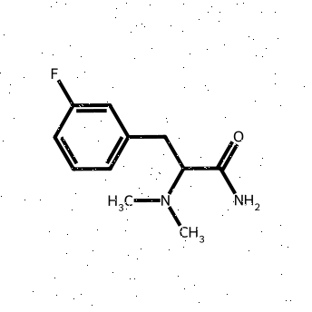 CN(C)C(Cc1cccc(F)c1)C(N)=O